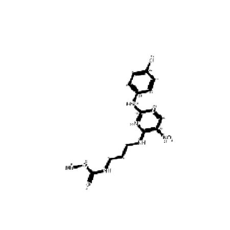 CC(C)(C)OC(=O)NCCCNc1nc(Nc2ccc(Cl)cc2)ncc1[N+](=O)[O-]